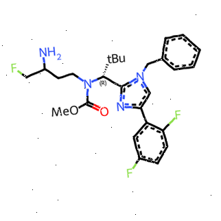 COC(=O)N(CCC(N)CF)[C@@H](c1nc(-c2cc(F)ccc2F)cn1Cc1ccccc1)C(C)(C)C